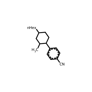 CCCCCCC1CCC(c2ccc(C#N)cc2)C(C)C1